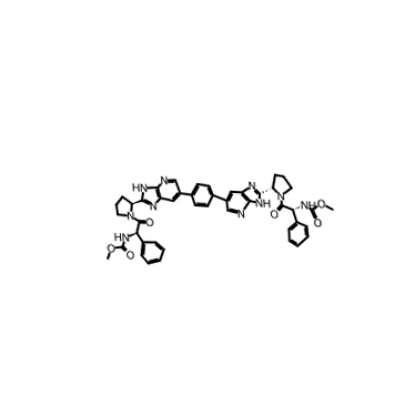 COC(=O)N[C@@H](C(=O)N1CCC[C@H]1c1nc2cc(-c3ccc(-c4cnc5[nH]c([C@@H]6CCCN6C(=O)[C@H](NC(=O)OC)c6ccccc6)nc5c4)cc3)cnc2[nH]1)c1ccccc1